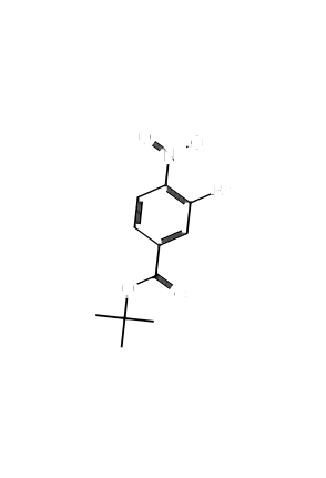 CC(C)(C)OC(=O)c1ccc([N+](=O)[O-])c(Br)c1